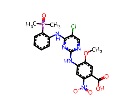 COc1cc(C(=O)O)c([N+](=O)[O-])cc1Nc1ncc(Cl)c(Nc2ccccc2P(C)(C)=O)n1